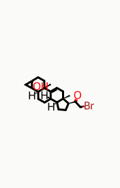 C[C@]12CC=C3[C@@H](CC[C@H]4C5C[C@@]5(O)CC[C@]34C)[C@@H]1CC[C@@H]2C(=O)CBr